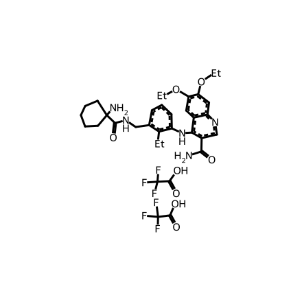 CCOc1cc2ncc(C(N)=O)c(Nc3cccc(CNC(=O)C4(N)CCCCC4)c3CC)c2cc1OCC.O=C(O)C(F)(F)F.O=C(O)C(F)(F)F